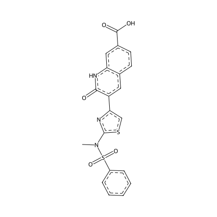 CN(c1nc(-c2cc3ccc(C(=O)O)cc3[nH]c2=O)cs1)S(=O)(=O)c1ccccc1